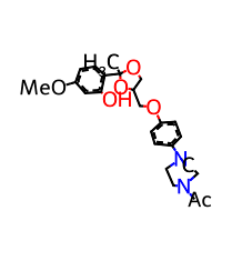 COc1ccc(C2(C)OCC(COc3ccc(N4CCN(C(C)=O)CC4)cc3)O2)c(O)c1